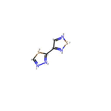 c1nnc(-c2cnsn2)s1